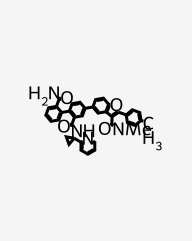 CNC(=O)c1c(-c2ccc(C)cc2)oc2ccc(-c3ccc(-c4ccccc4C(N)=O)c(C(=O)NC4(c5ccccn5)CC4)c3)cc12